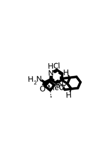 CO[C@@]1(c2ccnc(C(N)=O)c2)[C@@H]2CCC[C@H]1CN([C@@H]1CC[C@H]1C)C2.Cl